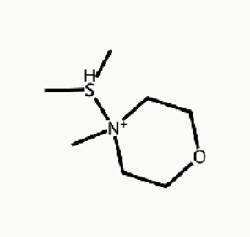 C[SH](C)[N+]1(C)CCOCC1